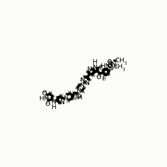 CCN(C)S(=O)(=O)Nc1ccc(F)c(C(=O)c2c[nH]c3ncc(-c4cnc(N5CCN(C(=O)CC6(O)CCN(c7ccc(NC8CCC(=O)NC8=O)cn7)CC6)CC5)nc4)cc23)c1F